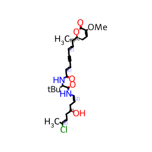 COC1=CC[C@@H]([C@@H](C)/C=C/C#C/C=C/C(=O)NC(C(=O)N/C=C\C[C@@H](O)C/C=C(\C)Cl)C(C)(C)C)OC1=O